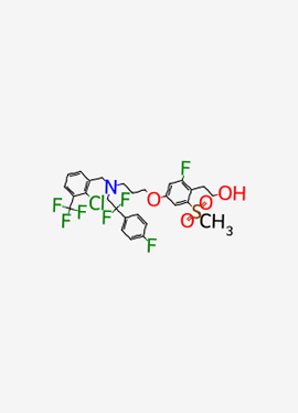 CS(=O)(=O)c1cc(OCCCN(Cc2cccc(C(F)(F)F)c2Cl)CC(F)(F)c2ccc(F)cc2)cc(F)c1CCO